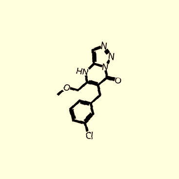 COCc1[nH]c2cnnn2c(=O)c1Cc1cccc(Cl)c1